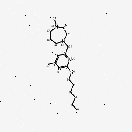 CCCCCCSc1nc(C)cc(CN2CCCN(C)CC2)n1